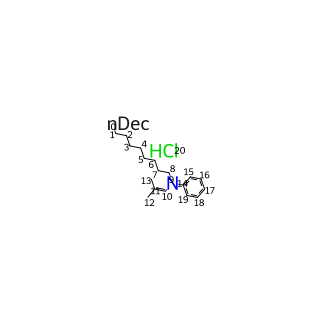 CCCCCCCCCCCCCCCCCCN(C=C(C)C)c1ccccc1.Cl